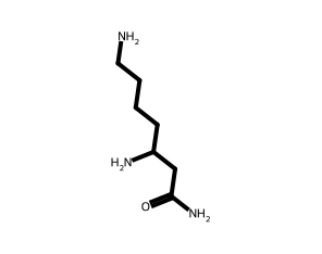 NCCCCC(N)CC(N)=O